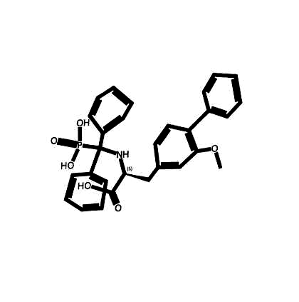 COc1cc(C[C@H](NC(c2ccccc2)(c2ccccc2)P(=O)(O)O)C(=O)O)ccc1-c1ccccc1